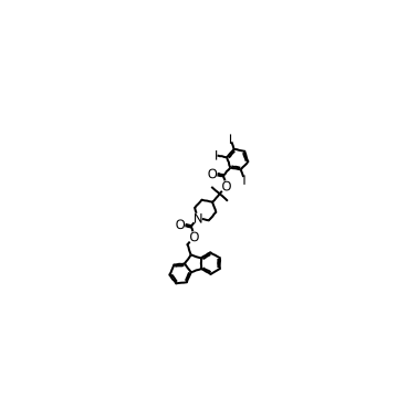 CC(C)(OC(=O)c1c(I)ccc(I)c1I)C1CCN(C(=O)OCC2c3ccccc3-c3ccccc32)CC1